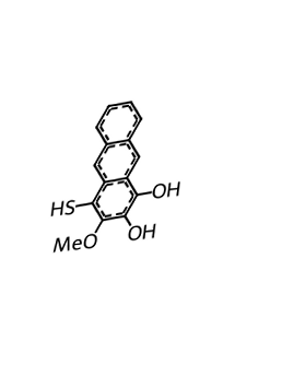 COc1c(O)c(O)c2cc3ccccc3cc2c1S